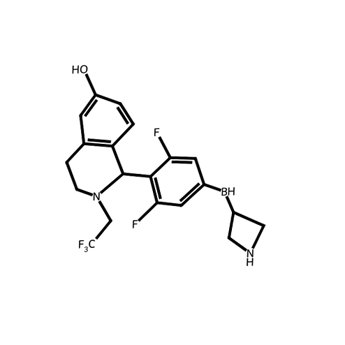 Oc1ccc2c(c1)CCN(CC(F)(F)F)C2c1c(F)cc(BC2CNC2)cc1F